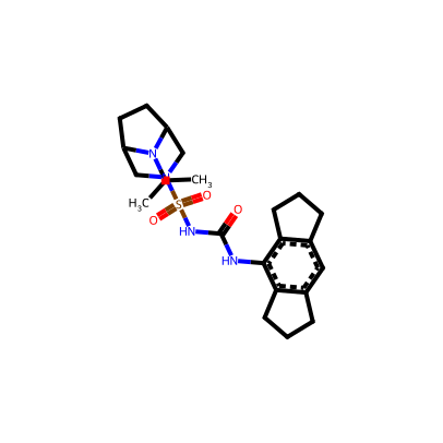 CC(C)N1C2CCC1CN(S(=O)(=O)NC(=O)Nc1c3c(cc4c1CCC4)CCC3)C2